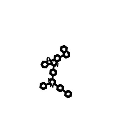 c1ccc(-c2ccc(-c3cc(-c4ccc(-c5nc6cc(-c7cccc8ccccc78)ccc6c6oc7ccccc7c56)cc4)nc(-c4ccccc4)n3)cc2)cc1